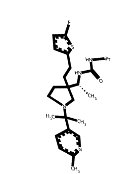 Cc1ccc(C(C)(C)N2CCC(CCc3ccc(F)s3)([C@@H](C)NC(=O)NC(C)C)C2)cn1